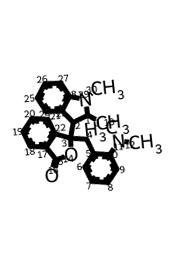 CC1C(C2(Cc3ccccc3N(C)C)OC(=O)c3ccccc32)c2ccccc2N1C